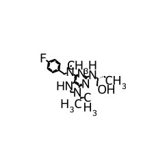 CC[C@H](CO)Nc1nc(N(C)Cc2ccc(F)cc2)c2c(n1)N(C(C)C)CN2